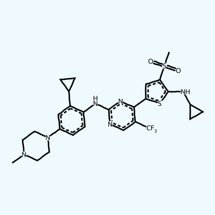 CN1CCN(c2ccc(Nc3ncc(C(F)(F)F)c(-c4cc(S(C)(=O)=O)c(NC5CC5)s4)n3)c(C3CC3)c2)CC1